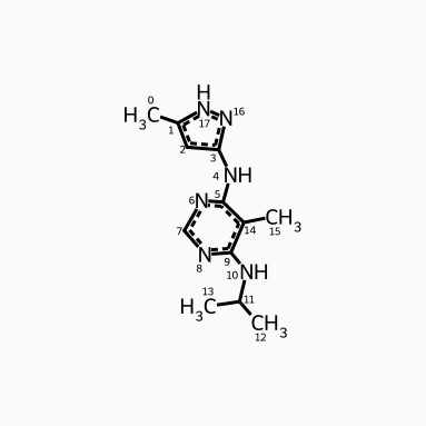 Cc1cc(Nc2ncnc(NC(C)C)c2C)n[nH]1